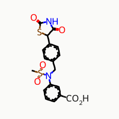 CS(=O)(=O)N(Cc1ccc(C2SC(=O)NC2=O)cc1)c1cccc(C(=O)O)c1